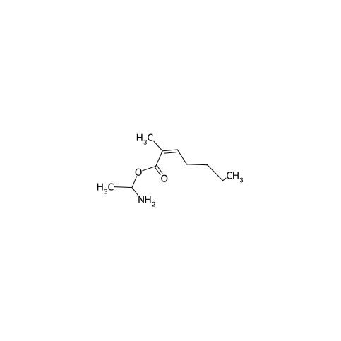 CCCCC=C(C)C(=O)OC(C)N